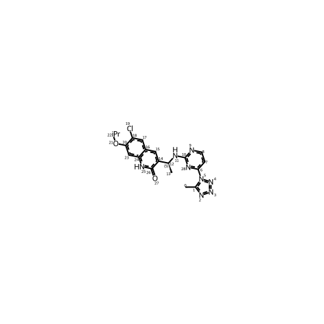 Cc1nnnn1-c1ccnc(N[C@@H](C)c2cc3cc(Cl)c(OC(C)C)cc3[nH]c2=O)n1